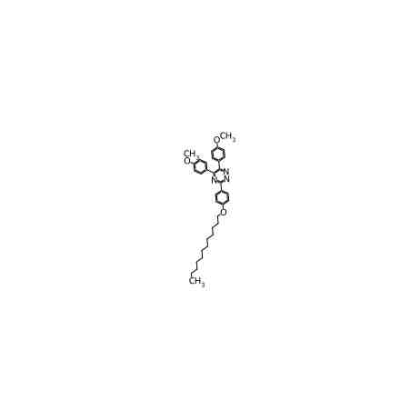 CCCCCCCCCCCCOc1ccc(-c2nnc(-c3ccc(OC)cc3)c(-c3ccc(OC)cc3)n2)cc1